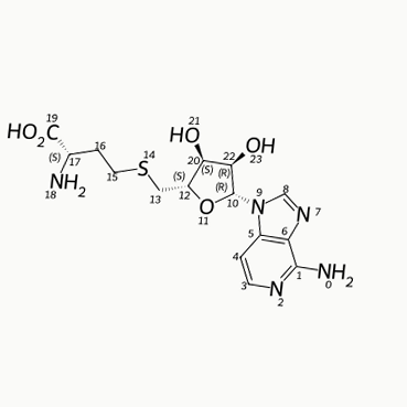 Nc1nccc2c1ncn2[C@@H]1O[C@H](CSCC[C@H](N)C(=O)O)[C@@H](O)[C@H]1O